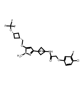 Cn1nc(C23CC(NC(=O)COc4ccc(Cl)c(F)c4)(C2)C3)cc1OC[C@H]1C[C@@H](OC(F)(F)F)C1